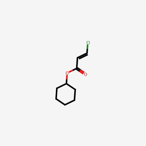 O=C(C=CCl)OC1CCCCC1